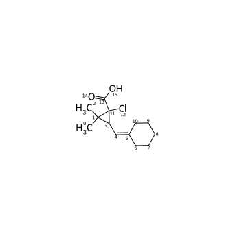 CC1(C)C(C=C2CCCCC2)C1(Cl)C(=O)O